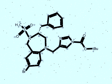 CC(C)(C)OC(=O)n1cnc(CN2C[C@@H](Cc3ccccc3)N(S(C)(=O)=O)Cc3cc(Br)ccc32)c1